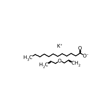 C=CCOCC=C.CCCCCCCCCCCC(=O)[O-].[K+]